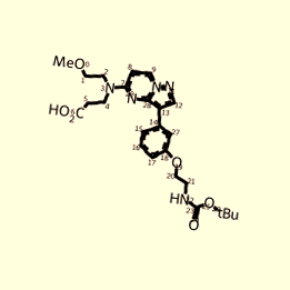 COCCN(CCC(=O)O)c1ccn2ncc(-c3cccc(OCCNC(=O)OC(C)(C)C)c3)c2n1